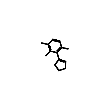 Cc1ccc(C)c(C2=CCCC2)c1C